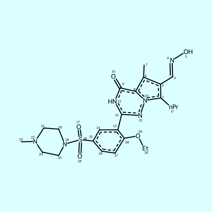 CCCc1c(C=NO)c(C)c2c(=O)[nH]c(-c3cc(S(=O)(=O)N4CCN(C)CC4)ccc3OCC)nn12